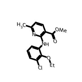 CCOc1c(Cl)cccc1Nc1nc(C)ccc1C(=O)OC